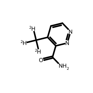 [2H]C([2H])([2H])c1ccnnc1C(N)=O